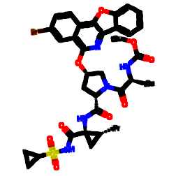 CC(C)[C@@H]1C[C@]1(NC(=O)[C@@H]1C[C@@H](Oc2nc3c4ccccc4oc3c3ccc(Br)cc23)CN1C(=O)[C@@H](NC(=O)OC(C)(C)C)C(C)(C)C)C(=O)NS(=O)(=O)C1CC1